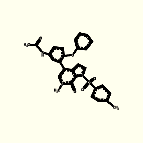 CC(=O)Nc1ccc(Oc2ccccc2)c(-c2cn(C)c(=O)c3c2ccn3S(=O)(=O)c2ccc(C)cc2)c1